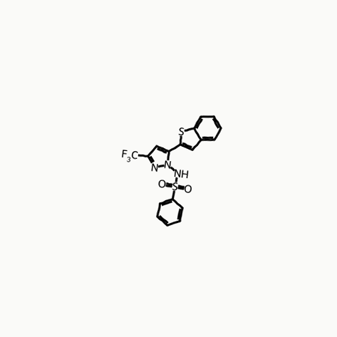 O=S(=O)(Nn1nc(C(F)(F)F)cc1-c1cc2ccccc2s1)c1ccccc1